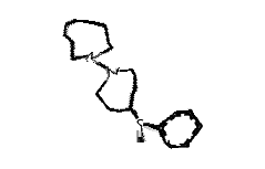 c1ccc(SC2CCN(N3CCCCC3)CC2)cc1